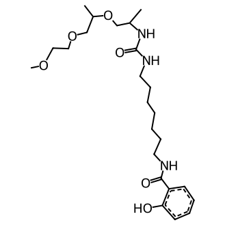 COCCOCC(C)OCC(C)NC(=O)NCCCCCCCNC(=O)c1ccccc1O